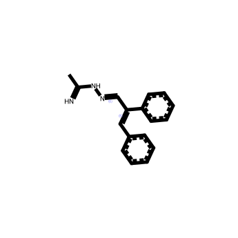 CC(=N)N/N=C/C(=C/c1ccccc1)c1ccccc1